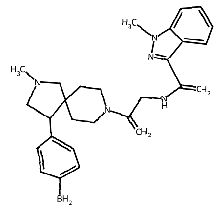 Bc1ccc(C2CN(C)CC23CCN(C(=C)CNC(=C)c2nn(C)c4ccccc24)CC3)cc1